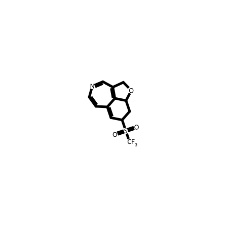 O=S(=O)(C1C=C2C=CN=CC3=C2C(C1)OC3)C(F)(F)F